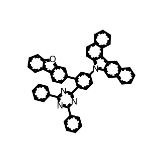 c1ccc(-c2nc(-c3ccccc3)nc(-c3ccc(-n4c5cc6ccccc6cc5c5c6ccccc6ccc54)cc3-c3ccc4c(c3)oc3ccccc34)n2)cc1